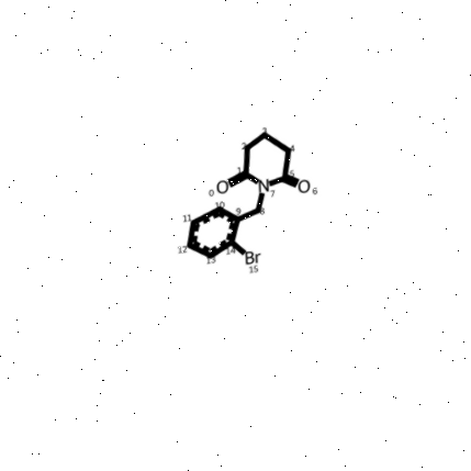 O=C1CCCC(=O)N1Cc1ccccc1Br